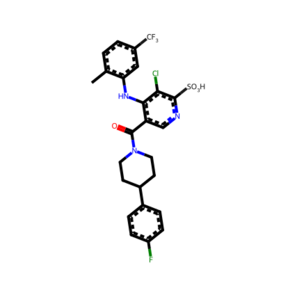 Cc1ccc(C(F)(F)F)cc1Nc1c(C(=O)N2CCC(c3ccc(F)cc3)CC2)cnc(S(=O)(=O)O)c1Cl